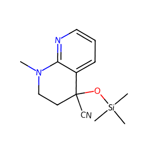 CN1CCC(C#N)(O[Si](C)(C)C)c2cccnc21